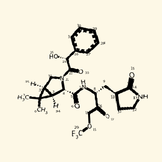 CC1(C)[C@@H]2[C@@H](C(=O)N[C@H](C[C@@H]3CCNC3=O)C(=O)COC(F)(F)F)N(C(=O)[C@H](O)c3ccccc3)C[C@@H]21